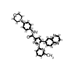 Cc1cccc(-n2nc(C(=O)Nc3ccc(N4CCOCC4)cc3)cc2-c2ccc3nccnc3c2)n1